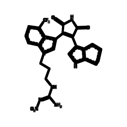 NC(=N[N+](=O)[O-])NCCCn1cc(C2=C(c3c[nH]c4ccccc34)C(=O)NC2=O)c2c(C(F)(F)F)cccc21